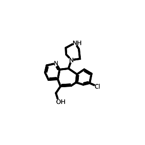 OCC1=Cc2cc(Cl)ccc2C(N2CCNCC2)c2ncccc21